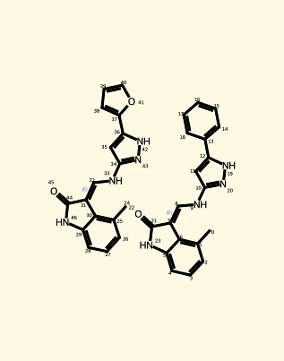 Cc1cccc2c1/C(=C\Nc1cc(-c3ccccc3)[nH]n1)C(=O)N2.Cc1cccc2c1/C(=C\Nc1cc(-c3ccco3)[nH]n1)C(=O)N2